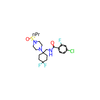 CCC[S+]([O-])N1CCN(C2(CNC(=O)c3ccc(Cl)cc3F)CCC(F)(F)CC2)CC1